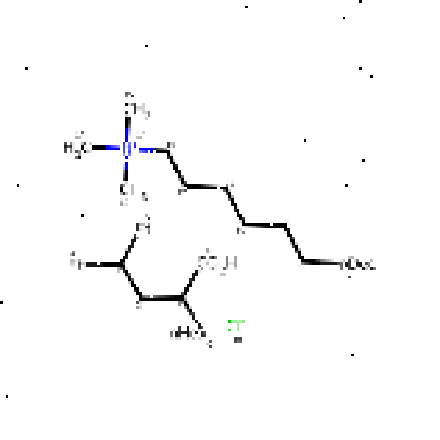 CCCCCCC(CC(CC)CC)C(=O)O.CCCCCCCCCCCCCCCC[N+](C)(C)C.[Cl-]